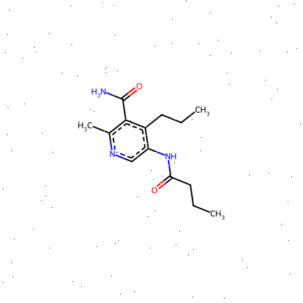 CCCC(=O)Nc1cnc(C)c(C(N)=O)c1CCC